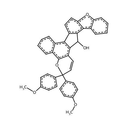 COc1ccc(C2(c3ccc(OC)cc3)C=Cc3c4c(c5ccccc5c3O2)-c2ccc3oc5ccccc5c3c2C4O)cc1